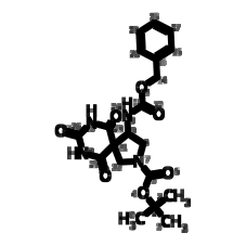 CC(C)(C)OC(=O)N1CC(NC(=O)OCc2ccccc2)C2(C1)C(=O)NC(=O)NC2=O